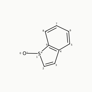 [O-][s+]1ccc2ccc[c]c21